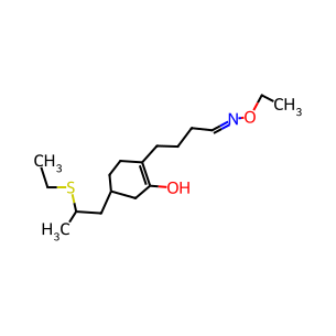 CCON=CCCCC1=C(O)CC(CC(C)SCC)CC1